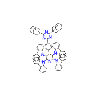 c1ccc2c(c1)c1ccccc1n2-c1nc(-n2c3ccccc3c3ccccc32)c(-n2c3ccccc3c3ccccc32)c(-c2ccc(-c3nc(C45CC6CC(CC(C6)C4)C5)nc(C45CC6CC(CC(C6)C4)C5)n3)cc2)c1-n1c2ccccc2c2ccccc21